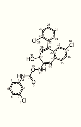 O=C(Nc1cccc(Cl)c1)ONC1=Nc2ccc(Cl)cc2C(c2ccccc2Cl)=NC1O